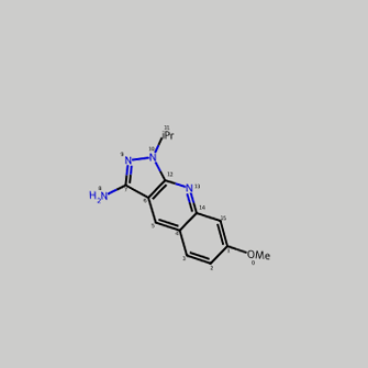 COc1ccc2cc3c(N)nn(C(C)C)c3nc2c1